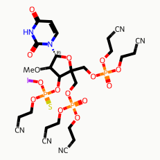 COC1C(OP(=S)(OI)OCCC#N)C(COP(=O)(OCCC#N)OCCC#N)(COP(=O)(OCCC#N)OCCC#N)O[C@H]1n1ccc(=O)[nH]c1=O